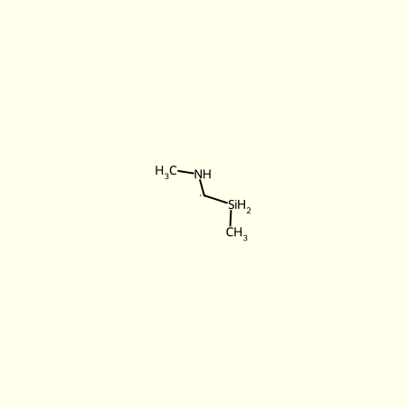 CN[CH][SiH2]C